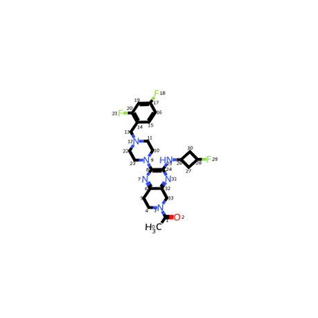 CC(=O)N1CCc2nc(N3CCN(Cc4ccc(F)cc4F)CC3)c(NC3CC(F)C3)nc2C1